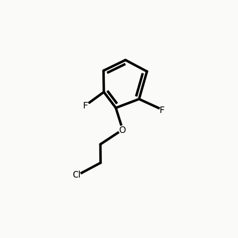 Fc1cccc(F)c1OCCCl